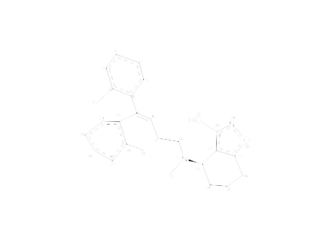 Cc1ccccc1C(=CCCN(C)[C@@H]1CCCc2onc(O)c21)c1ccccc1C